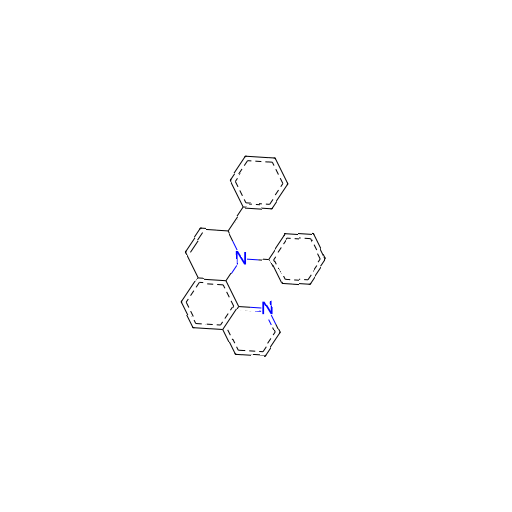 C1=CC(c2ccccc2)N(c2ccccc2)c2c1ccc1cccnc21